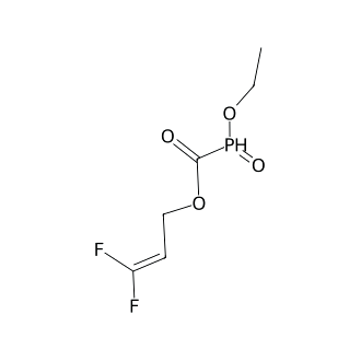 CCO[PH](=O)C(=O)OCC=C(F)F